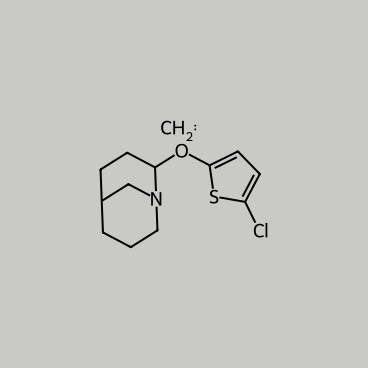 Clc1ccc(OC2CCC3CCCN2C3)s1.[CH2]